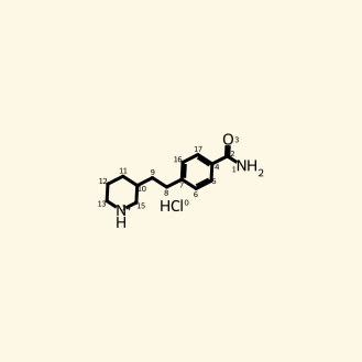 Cl.NC(=O)c1ccc(CCC2CCCNC2)cc1